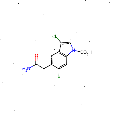 NC(=O)Cc1cc2c(Cl)cn(C(=O)O)c2cc1F